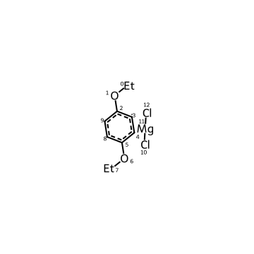 CCOc1[c]cc(OCC)cc1.[Cl][Mg][Cl]